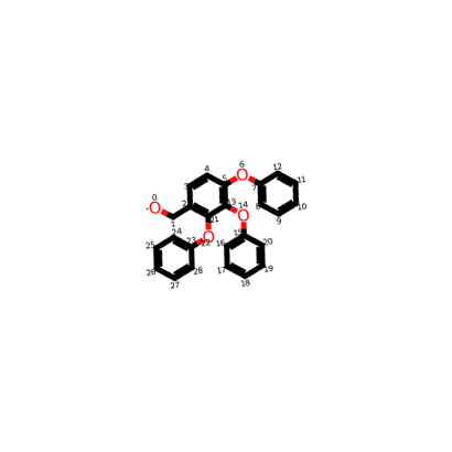 [O]Cc1ccc(Oc2ccccc2)c(Oc2ccccc2)c1Oc1ccccc1